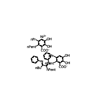 CCCCCC(=Nc1ccccc1)C(CCCC)=Nc1ccccc1.CCCCCc1c(CCC)cc(O)c(O)c1C(=O)[O-].CCCCCc1c(CCC)cc(O)c(O)c1C(=O)[O-].[Ni+2]